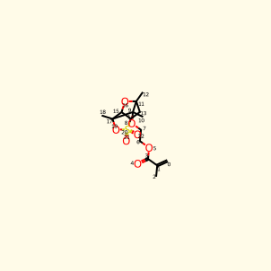 C=C(C)C(=O)OCCOC1(C)C2(C)CC3C(O2)C1(C)OS3(=O)=O